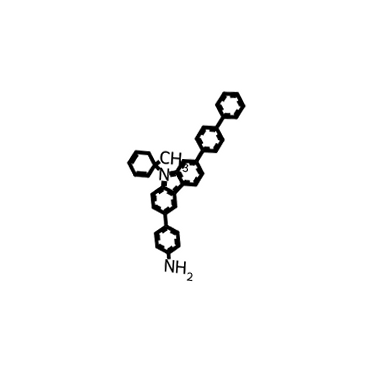 CC1(n2c3ccc(-c4ccc(N)cc4)cc3c3ccc(-c4ccc(-c5ccccc5)cc4)cc32)C=CC=CC1